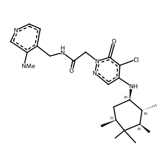 CNc1cnccc1CNC(=O)Cn1ncc(N[C@@H]2C[C@H](C)C(C)(C)[C@H](C)[C@H]2C)c(Cl)c1=O